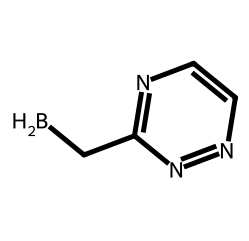 BCc1nccnn1